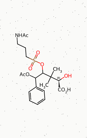 CC(=O)NCCCS(=O)(=O)OC(C(OC(C)=O)c1ccccc1)C(C)(C)[C@@H](O)C(=O)O